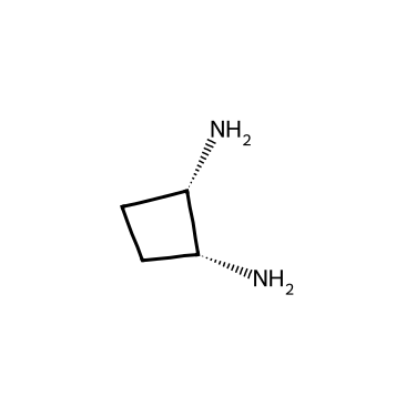 N[C@@H]1CC[C@@H]1N